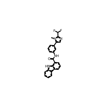 Cn1c(-c2cccc(NC(=O)c3cccc4c3[nH]c3ccccc34)c2)cnc1C(F)F